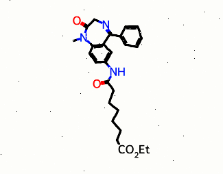 CCOC(=O)CCCCCCC(=O)Nc1ccc2c(c1)C(c1ccccc1)=NCC(=O)N2C